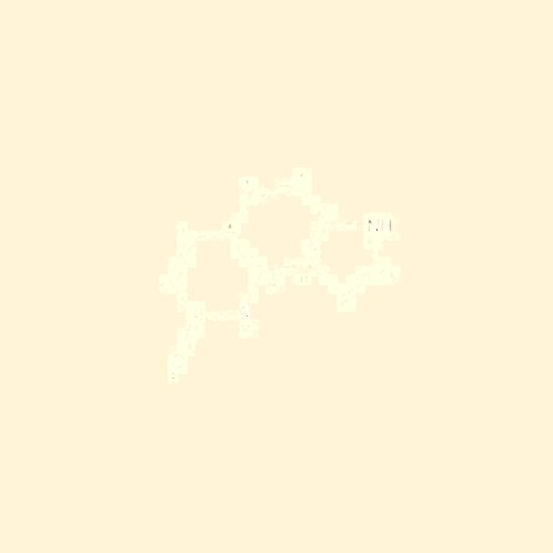 O=c1ccc2ccc3[nH]ccc3c2s1